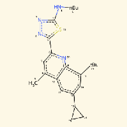 CCCCNc1nnc(-c2cc(C)c3cc(C4CC4)cc(C(C)(C)C)c3n2)s1